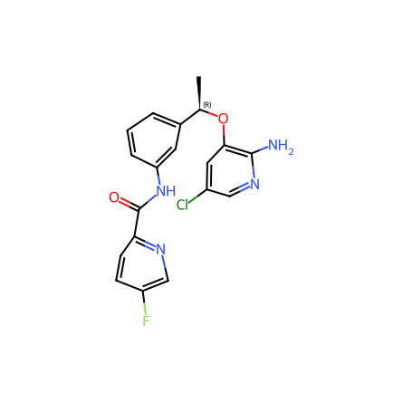 C[C@@H](Oc1cc(Cl)cnc1N)c1cccc(NC(=O)c2ccc(F)cn2)c1